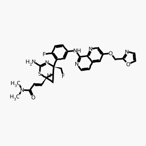 CN(C)C(=O)/C=C/[C@]12C[C@H]1[C@@](CF)(c1cc(Nc3nccc4cc(OCc5ncco5)cnc34)ccc1F)N=C(N)S2